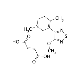 COc1nsnc1C1=C(C)CCN(C)C1.O=C(O)C=CC(=O)O